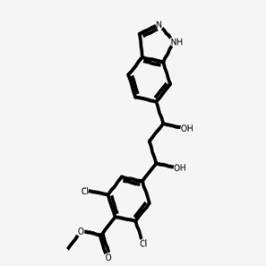 COC(=O)c1c(Cl)cc(C(O)CC(O)c2ccc3cn[nH]c3c2)cc1Cl